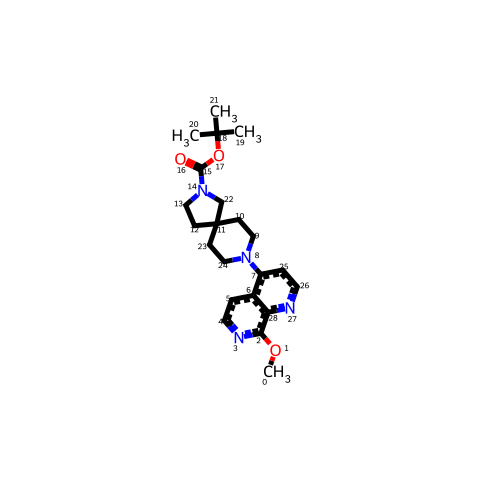 COc1nccc2c(N3CCC4(CCN(C(=O)OC(C)(C)C)C4)CC3)ccnc12